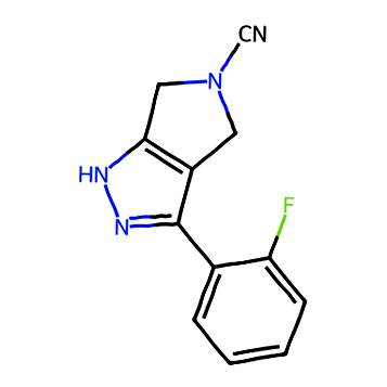 N#CN1Cc2[nH]nc(-c3ccccc3F)c2C1